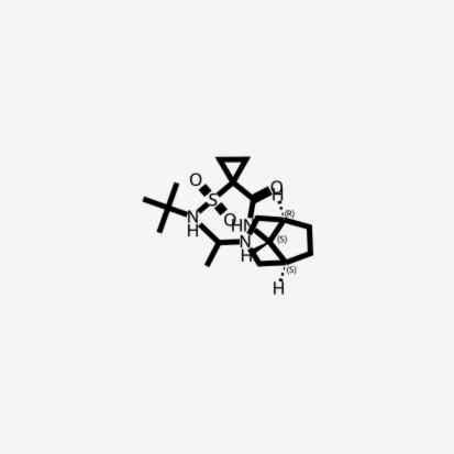 CC(C)N1C[C@H]2CC[C@@H](C1)[C@@H]2NC(=O)C1(S(=O)(=O)NC(C)(C)C)CC1